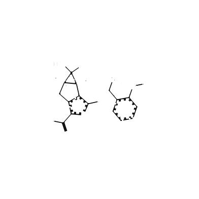 COc1ccccc1CN.Cc1sc(C(=O)O)c2c1[C@H]1[C@@H](C2)C1(C)C